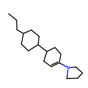 CCCC1CCC(C2CC=C(N3CCCC3)CC2)CC1